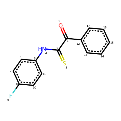 O=C(C(=S)Nc1ccc(F)cc1)c1ccccc1